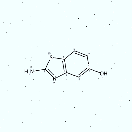 Nc1nc2cc(O)ccc2s1